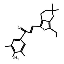 CCc1sc(C=CC(=O)c2cc(C)c(N)c(C)c2)c2c1CC(C)(C)CC2